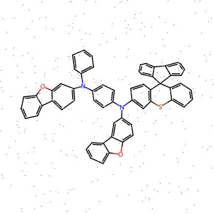 c1ccc(N(c2ccc(N(c3ccc4c(c3)Sc3ccccc3C43c4ccccc4-c4ccccc43)c3ccc4oc5ccccc5c4c3)cc2)c2ccc3c(c2)oc2ccccc23)cc1